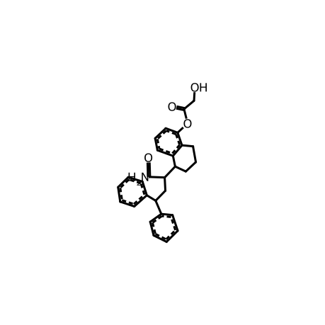 NC(=O)C(CC(c1ccccc1)c1ccccc1)C1CCCc2c(OC(=O)CO)cccc21